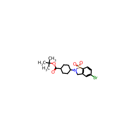 CC(C)(C)OC(=O)C1CCC(N2Cc3cc(Br)ccc3S2(=O)=O)CC1